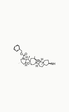 CC1=C2C[C@H]3[C@@H](CCC4CC(=N)CCC43C)[C@@H]2CC[C@@]2(C1)O[C@@H]1C[C@H](C)CN(C(=O)OCc3ccccc3)[C@H]1[C@H]2C